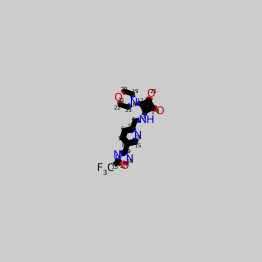 O=c1c(NCc2ccc(-c3noc(C(F)(F)F)n3)cn2)c(N2CCOCC2)c1=O